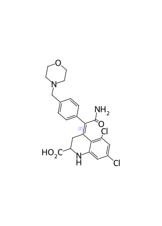 NC(=O)/C(=C1/CC(C(=O)O)Nc2cc(Cl)cc(Cl)c21)c1ccc(CN2CCOCC2)cc1